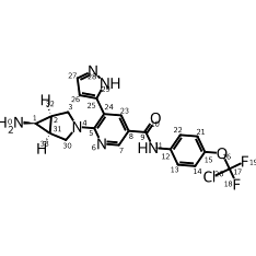 N[C@H]1[C@H]2CN(c3ncc(C(=O)Nc4ccc(OC(F)(F)Cl)cc4)cc3-c3ccn[nH]3)C[C@@H]12